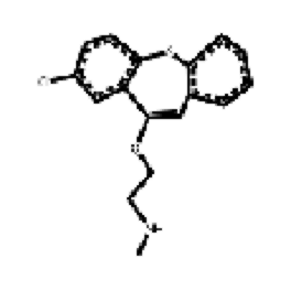 CNCCOC1=Cc2ccccc2Sc2ccc(Cl)cc21